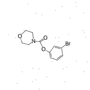 O=C(Oc1cccc(Br)c1)N1CCOCC1